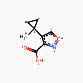 CC1(c2conc2C(=O)O)CC1